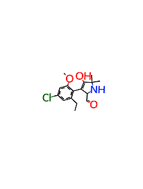 CCc1cc(Cl)cc(OC)c1C1=C(O)C(C)(C)NC1C=O